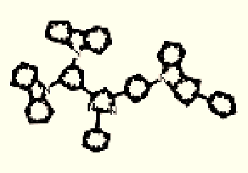 c1ccc(-c2ccc3c(c2)c2ccccc2n3-c2ccc(-c3cc(-c4cc(-n5c6ccccc6c6ccccc65)cc(-n5c6ccccc6c6ccccc65)c4)nc(-c4ccccc4)n3)cc2)cc1